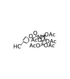 C#Cc1ccc(OCC(=O)NC[C@@H](OC(C)=O)[C@H](OC(C)=O)[C@@H](OC(C)=O)[C@H](COC(C)=O)OC(C)=O)cc1